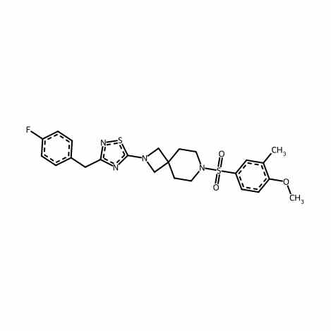 COc1ccc(S(=O)(=O)N2CCC3(CC2)CN(c2nc(Cc4ccc(F)cc4)ns2)C3)cc1C